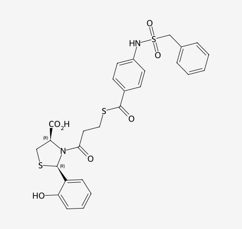 O=C(SCCC(=O)N1[C@@H](c2ccccc2O)SC[C@H]1C(=O)O)c1ccc(NS(=O)(=O)Cc2ccccc2)cc1